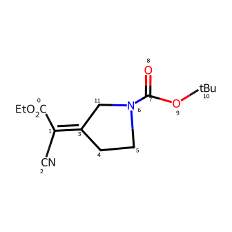 CCOC(=O)/C(C#N)=C1/CCN(C(=O)OC(C)(C)C)C1